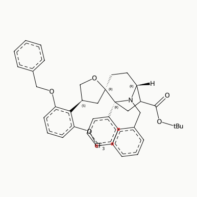 CC(C)(C)OC(=O)C1C[C@]2(c3ccccc3)N(Cc3ccccc3)[C@@H]1CC[C@@]21C[C@@H](c2c(OCc3ccccc3)cccc2OC(F)(F)F)CO1